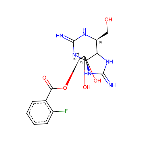 N=C1NC2[C@H](CO)NC(=N)N3C[C@H](OC(=O)c4ccccc4F)C(O)(O)[C@]23N1